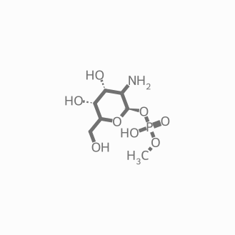 COP(=O)(O)O[C@H]1OC(CO)[C@H](O)[C@H](O)C1N